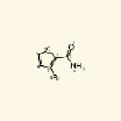 NC(=O)c1sccc1Br